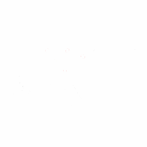 Cc1ccc(S(=O)(=O)OOCc2ccccc2)c(C2CCC2)c1